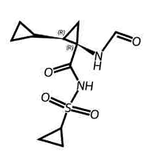 O=CN[C@]1(C(=O)NS(=O)(=O)C2CC2)C[C@@H]1C1CC1